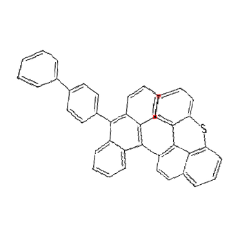 c1ccc(-c2ccc(-c3c4ccccc4c(-c4ccc5cccc6c5c4-c4ccccc4S6)c4ccccc34)cc2)cc1